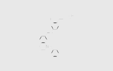 O=C(O)CCc1ccc(OCc2ccc3c(c2)N(Cc2ccccc2)CCC3)cc1F